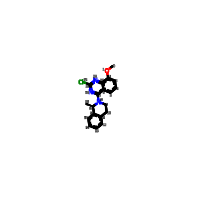 COc1cccc2c(N3CCc4ccccc4[C@H]3C)nc(Cl)nc12